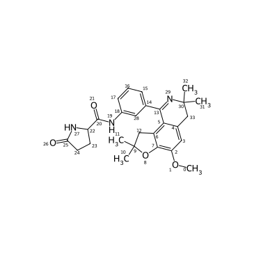 COc1cc2c(c3c1OC(C)(C)C3)C(c1cccc(NC(=O)C3CCC(=O)N3)c1)=NC(C)(C)C2